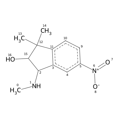 CNC1c2cc([N+](=O)[O-])ccc2C(C)(C)C1O